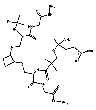 BBC(=O)CNC(=O)C(CSC1CCC1SCC(NC(C)(C)CC)C(=O)NCC(=O)BB)NC(=O)C(C)(C)COC(C)(N)CC[C@H](O)C(C)CC